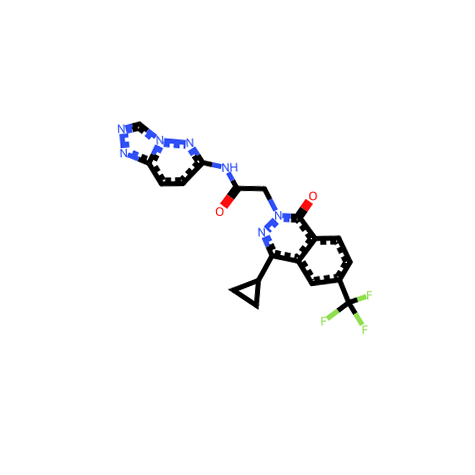 O=C(Cn1nc(C2CC2)c2cc(C(F)(F)F)ccc2c1=O)Nc1ccc2nncn2n1